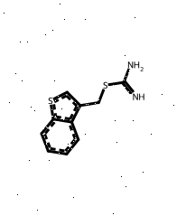 N=C(N)SCc1csc2ccccc12